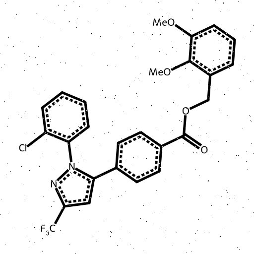 COc1cccc(COC(=O)c2ccc(-c3cc(C(F)(F)F)nn3-c3ccccc3Cl)cc2)c1OC